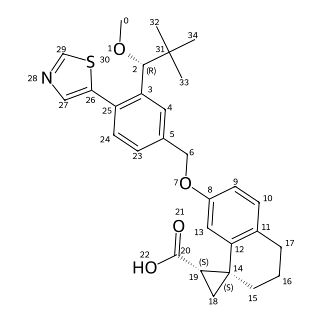 CO[C@@H](c1cc(COc2ccc3c(c2)[C@@]2(CCC3)C[C@@H]2C(=O)O)ccc1-c1cncs1)C(C)(C)C